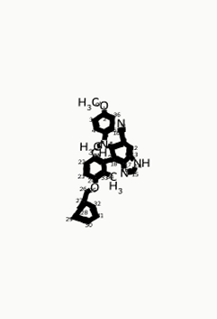 COc1ccc(N(C)c2c(C#N)cc3[nH]cnc3c2-c2c(C)ccc(OCc3ccccc3)c2C)cc1